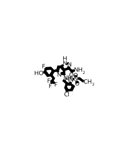 CCCS(=O)(=O)Nc1ccc(Cl)cc1CNc1nc(-c2cc(F)c(O)cc2CC(F)(F)F)cc2[nH]nc(C(N)=O)c12